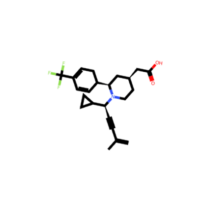 C=C(C)C#C[C@@H](C1CC1)N1CC[C@H](CC(=O)O)C[C@@H]1C1C=CC(C(F)(F)F)=CC1